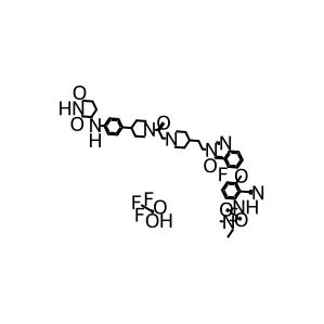 CCN(C)S(=O)(=O)Nc1ccc(F)c(Oc2ccc3ncn(CCC4CCN(CC(=O)N5CCC(c6ccc(NC7CCC(=O)NC7=O)cc6)CC5)CC4)c(=O)c3c2)c1C#N.O=C(O)C(F)(F)F